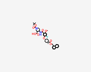 COc1cc(F)c(O[C@H]2CC[C@@](C)(C(=O)OCc3cccc4ccccc34)CC2)cc1C(=O)N[C@@H]1CCN(C(=O)OC(C)(C)C)C[C@@H]1C(=O)O